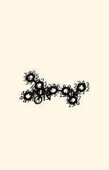 O=c1c2nc3cc(-c4ccc5c(c4)c4ccccc4n5-c4ccccc4)ccc3n2c2ccc(-c3ccccc3)cc2n1-c1ccccc1